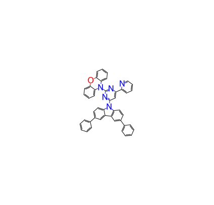 c1ccc(-c2ccc3c(c2)c2cc(-c4ccccc4)ccc2n3-c2cc(-c3ccccn3)nc(N3c4ccccc4Oc4ccccc43)n2)cc1